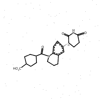 O=C1CC[C@H](c2ccc3c(c2)CCCN3C(=O)C2CCC(C(=O)O)CC2)C(=O)N1